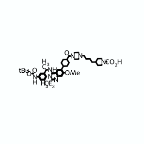 COc1cc2nc(C)nc(N[C@H](C)c3cc(NC(=O)OC(C)(C)C)cc(C(F)(F)F)c3)c2cc1C1CCC(C(=O)N2CCN(CCCCC3CCN(C(=O)O)CC3)CC2)CC1